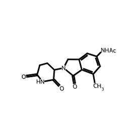 CC(=O)Nc1cc(C)c2c(c1)CN(C1CCC(=O)NC1=O)C2=O